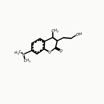 CC1c2ccc(N(C)C)cc2OC(=O)C1CCO